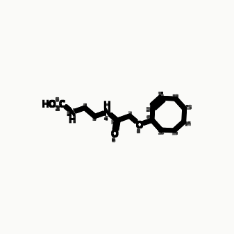 O=C(O)NCCNC(=O)COC1C#CCCCCC1